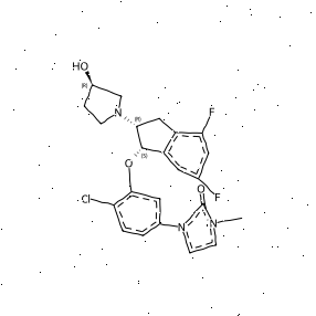 Cn1ccn(-c2ccc(Cl)c(O[C@H]3c4cc(F)cc(F)c4C[C@H]3N3CC[C@@H](O)C3)c2)c1=O